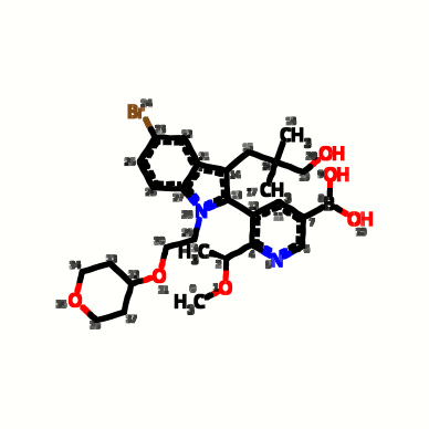 CO[C@@H](C)c1ncc(B(O)O)cc1-c1c(CC(C)(C)CO)c2cc(Br)ccc2n1CCOC1CCOCC1